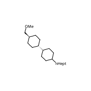 CCCCCCCC1CCC([C@H]2CC[C@H](COC)CC2)CC1